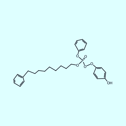 O=P(OCCCCCCCCCc1ccccc1)(OOc1ccc(O)cc1)Oc1ccccc1